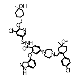 COC1(C)CCC(c2ccc(Cl)cc2)=C(CN2CCN(c3ccc(C(=O)NSc4cnc(OC[C@H]5CC[C@](C)(O)CC5)c(Cl)c4)c(Oc4cccc5[nH]ncc45)c3)CC2)C1